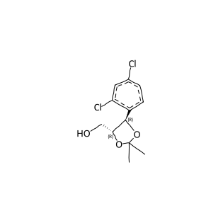 CC1(C)O[C@H](c2ccc(Cl)cc2Cl)[C@@H](CO)O1